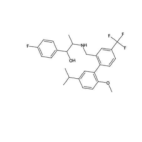 COc1ccc(C(C)C)cc1-c1ccc(C(F)(F)F)cc1CNC(C)C(O)c1ccc(F)cc1